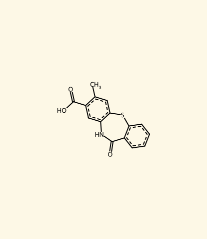 Cc1cc2c(cc1C(=O)O)NC(=O)c1ccccc1S2